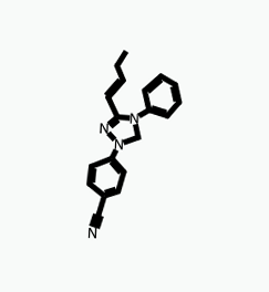 CCC=CC1=NN(c2ccc(C#N)cc2)CN1c1ccccc1